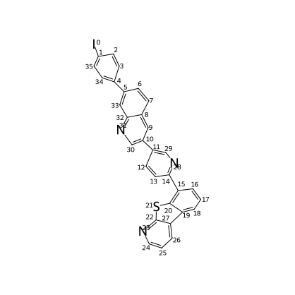 Ic1ccc(-c2ccc3cc(-c4ccc(-c5cccc6c5sc5ncccc56)nc4)cnc3c2)cc1